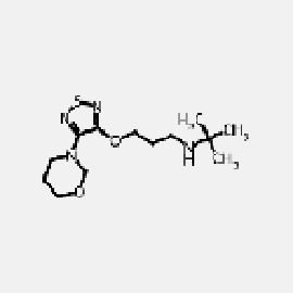 CC(C)(C)NCCCOc1nsnc1N1CCCOC1